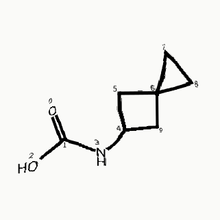 O=C(O)NC1CC2(CC2)C1